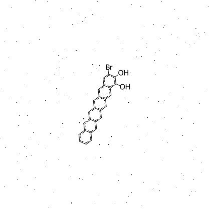 Oc1c(Br)cc2cc3cc4cc5cc6ccccc6cc5cc4cc3cc2c1O